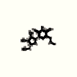 COCc1cn([C@@H]2O[C@H](CO)[C@@H](O)[C@H]2O)c(=S)[nH]c1=O